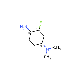 CN(C)[C@@H]1CC[C@@H](N)[C@@H](F)C1